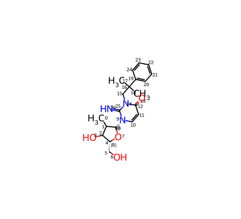 CC1C(O)[C@@H](CO)O[C@H]1n1ccc(=O)n(CC(C)(C)c2ccccc2)c1=N